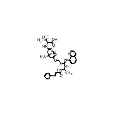 CC(NC(=O)/C=C/c1ccccc1)N/C(=N\c1cccc2cccnc12)SCOC(=O)CC(C)(C)CC(=O)N[C@H](C(=O)O)C(C)C